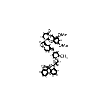 COc1ccc(CN2C(=O)CCN(c3cnn4ccc(C[C@@H]5CCN(CC(F)(F)CO[Si](c6ccccc6)(c6ccccc6)C(C)(C)C)[C@@H](C)C5)cc34)C2=O)c(OC)c1